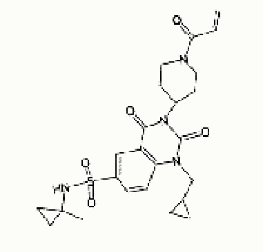 C=CC(=O)N1CCC(n2c(=O)c3cc(S(=O)(=O)NC4(C)CC4)ccc3n(CC3CC3)c2=O)CC1